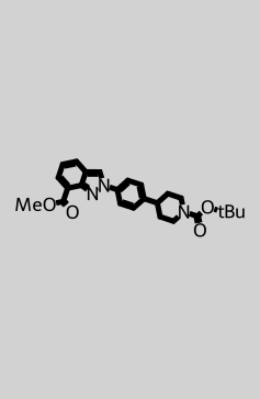 COC(=O)c1cccc2cn(-c3ccc(C4CCN(C(=O)OC(C)(C)C)CC4)cc3)nc12